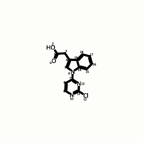 O=C(O)Cc1cn(-c2ccnc(Cl)n2)c2ccccc12